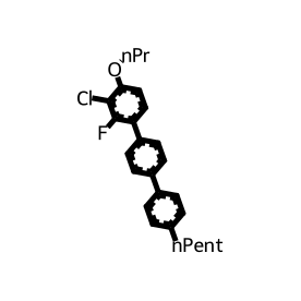 CCCCCc1ccc(-c2ccc(-c3ccc(OCCC)c(Cl)c3F)cc2)cc1